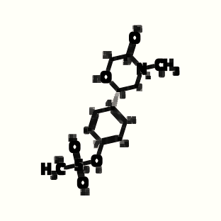 CN1C[C@H](c2ccc(OS(C)(=O)=O)cc2)OCC1=O